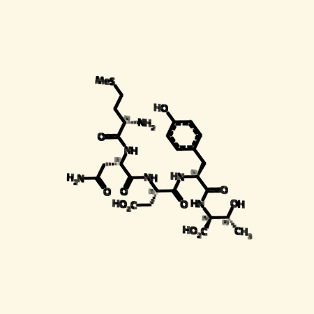 CSCC[C@H](N)C(=O)N[C@@H](CC(N)=O)C(=O)N[C@@H](CC(=O)O)C(=O)N[C@@H](Cc1ccc(O)cc1)C(=O)N[C@H](C(=O)O)[C@@H](C)O